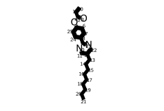 C=CC(=O)Oc1ccc(-c2ncc(CCCCCCCCC)cn2)cc1